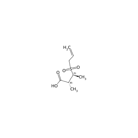 C=CCS(=O)(=O)[C@@H](C)[C@H](C)C(=O)O